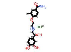 Cc1cc(C(N)=O)ccc1OCCNCC(O)c1ccc(O)c(O)c1.Cl